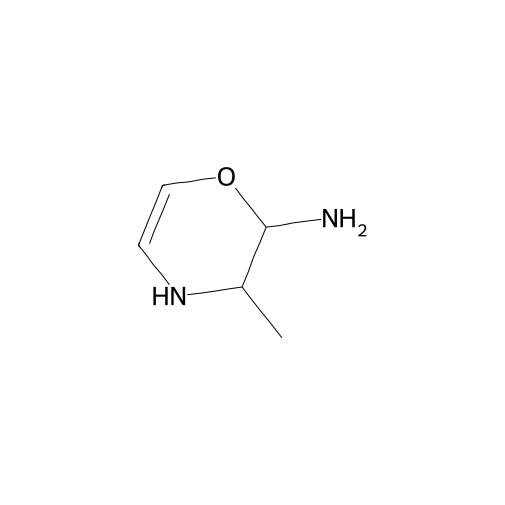 CC1NC=COC1N